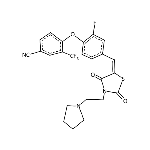 N#Cc1ccc(Oc2ccc(C=C3SC(=O)N(CCN4CCCC4)C3=O)cc2F)c(C(F)(F)F)c1